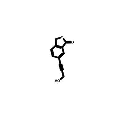 O=C1OCc2ccc(C#CCO)cc21